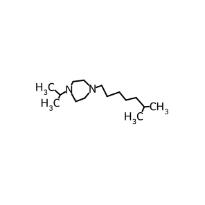 CC(C)CCCCCN1CCN(C(C)C)CC1